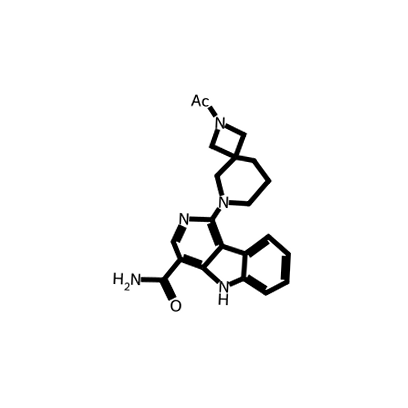 CC(=O)N1CC2(CCCN(c3ncc(C(N)=O)c4[nH]c5ccccc5c34)C2)C1